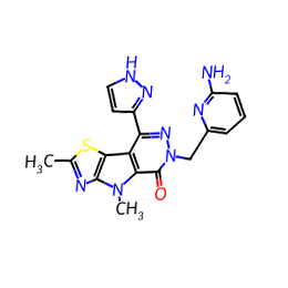 Cc1nc2c(s1)c1c(-c3cc[nH]n3)nn(Cc3cccc(N)n3)c(=O)c1n2C